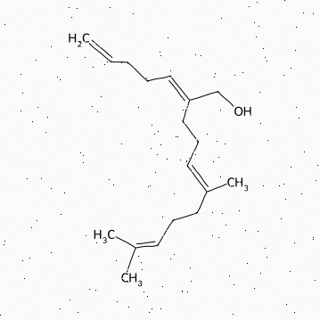 C=CCC/C=C(/CO)CC/C=C(\C)CCC=C(C)C